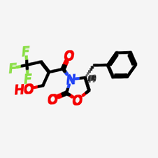 O=C1OC[C@@H](Cc2ccccc2)N1C(=O)C(CO)CC(F)(F)F